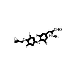 CCNC(C=O)Cc1cc(I)c(Oc2cc(I)c(OCC3CO3)c(I)c2)c(I)c1